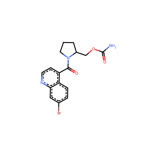 NC(=O)OCC1CCCN1C(=O)c1ccnc2cc(Br)ccc12